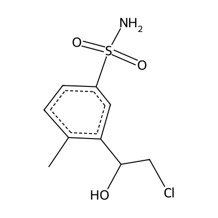 Cc1ccc(S(N)(=O)=O)cc1C(O)CCl